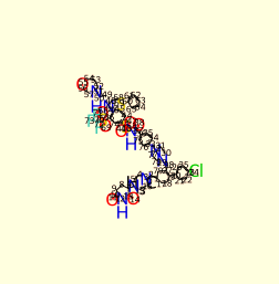 C[C@@]1(CN2CCN(C3CCC(=O)NC3=O)CC2)CCC(c2ccc(Cl)cc2)=C(CN2CCN(c3ccc(C(=O)NS(=O)(=O)c4ccc(N[C@H](CCN5CCCOCC5)CSc5ccccc5)c(S(=O)(=O)C(F)(F)F)c4)cc3)CC2)C1